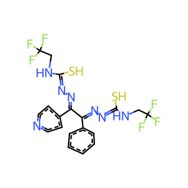 FC(F)(F)CN/C(S)=N/N=C(/C(=N/N=C(\S)NCC(F)(F)F)c1ccncc1)c1ccccc1